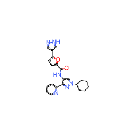 O=C(Nc1cn(C2CCCCC2)nc1-c1ccccn1)c1ccc(-c2cn[nH]c2)o1